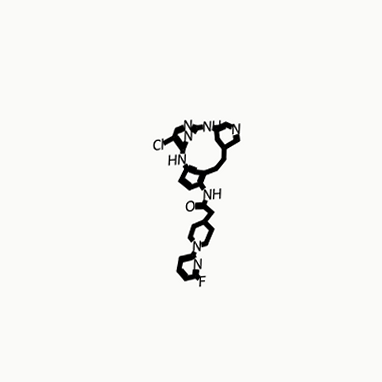 O=C(CC1CCN(c2cccc(F)n2)CC1)Nc1ccc2cc1CCC1C=NC=C(C1)Nc1ncc(Cl)c(n1)N2